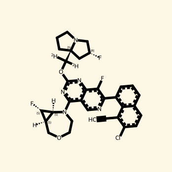 [2H]C([2H])(Oc1nc(N2CCOC[C@H]3[C@H](F)[C@H]32)c2cnc(-c3cccc4ccc(Cl)c(C#C)c34)c(F)c2n1)[C@@]12CCCN1C[C@H](F)C2